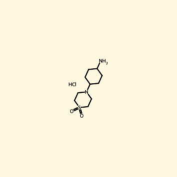 Cl.NC1CCC(N2CCS(=O)(=O)CC2)CC1